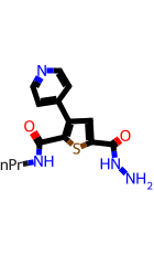 CCCNC(=O)c1sc(C(=O)NN)cc1-c1ccncc1